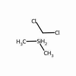 C[SiH2]C.ClCCl